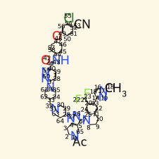 CC(=O)N1CCc2c(c(N3CCCc4cc(-c5ccn(C)n5)c(C(F)F)cc43)nn2C2CCN(CC3CCN(c4ccc(C(=O)NC5CCC(Oc6ccc(C#N)c(Cl)c6)CC5)nn4)CC3)CC2)C1